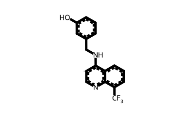 Oc1cccc(CNc2[c]cnc3c(C(F)(F)F)cccc23)c1